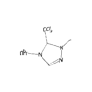 CCCN1C=NN(C)C1C(Cl)(Cl)Cl